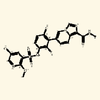 CNC(=O)c1ncn2cc(-c3c(Cl)ccc(NS(=O)(=O)c4cc(Cl)cnc4OC)c3F)ccc12